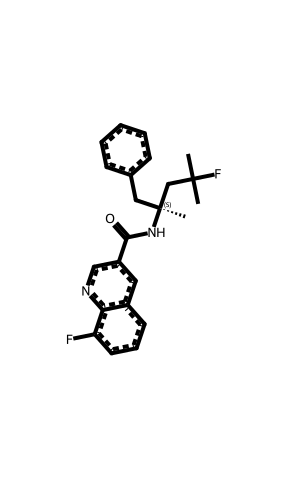 CC(C)(F)C[C@](C)(Cc1ccccc1)NC(=O)c1cnc2c(F)cccc2c1